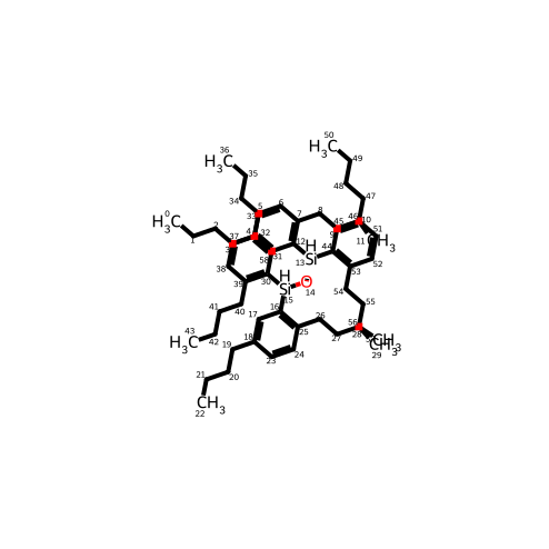 CCCCc1ccc(CCCC)c([SiH](O[SiH](c2cc(CCCC)ccc2CCCC)c2cc(CCCC)ccc2CCCC)c2cc(CCCC)ccc2CCCC)c1